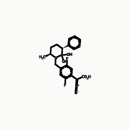 C[C@H]1CC[C@H](c2ccccc2)S(O)(O)N1Cc1cc(F)c(C(=[N+]=[N-])C(=O)O)cc1F